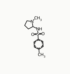 Cc1ccc(S(=O)(=O)NC2CCCN2C)cc1